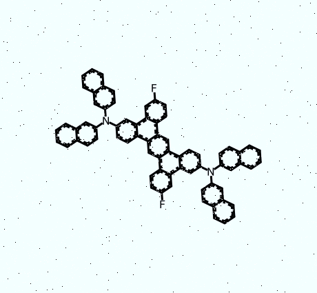 Fc1ccc2c(c1)c1cc(N(c3ccc4ccccc4c3)c3ccc4ccccc4c3)ccc1c1cc3c4ccc(F)cc4c4cc(N(c5ccc6ccccc6c5)c5ccc6ccccc6c5)ccc4c3cc21